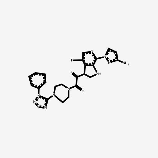 Nc1ccn(-c2ncc(F)c3c2NCC3C(=O)C(=O)N2CCN(c3nnnn3-c3ccccc3)CC2)n1